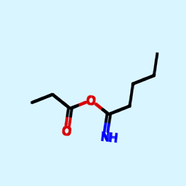 CCCCC(=N)OC(=O)CC